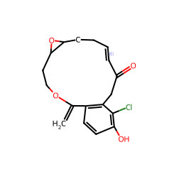 C=C1OCCC2OC2CC/C=C/C(=O)Cc2c1ccc(O)c2Cl